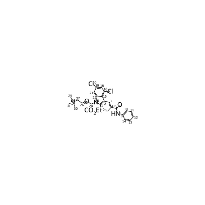 CCOC(=O)c1c(C=C(C)C(=O)Nc2ccccc2)c2c(Cl)cc(Cl)cc2n1COCC[Si](C)(C)C